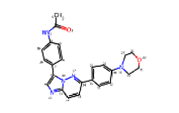 CC(=O)Nc1ccc(-c2cnc3ccc(-c4ccc(N5CCOCC5)cc4)nn23)cc1